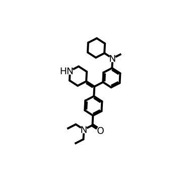 CCN(CC)C(=O)c1ccc(C(=C2CCNCC2)c2cccc(N(C)C3CCCCC3)c2)cc1